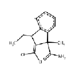 CCC1C(=C(Cl)Cl)C(C)(C(N)=O)c2ccc[c]c21